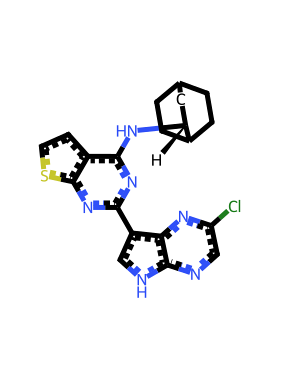 Clc1cnc2[nH]cc(-c3nc(N[C@@H]4CC5CCC4CC5)c4ccsc4n3)c2n1